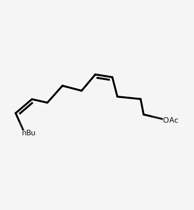 CCCC/C=C\CCC/C=C\CCCOC(C)=O